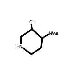 CNC1CCNCC1O